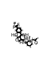 CC(=O)CN1CCCC(N/C(N)=C2\COC\C2=C(\N)c2ccc(C(F)(F)F)cc2O)C1